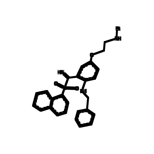 CCNCCOc1ccc(NCc2ccccc2)c(C(=N)S(=O)(=O)c2cccc3ccccc23)c1